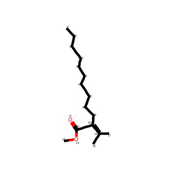 CCCCCCCCCCC(C(=O)OC)=C(C)C